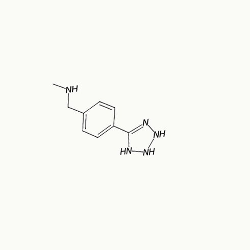 CNCc1ccc(C2=NNNN2)cc1